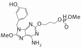 COc1nc2c(N)nc(OCCCO[PH](=O)OC)nc2n1Cc1cccc(O)c1